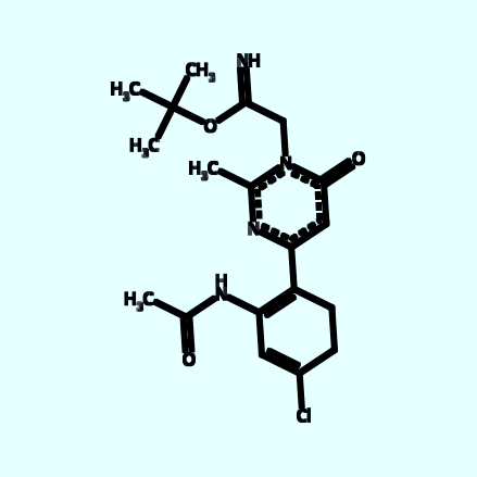 CC(=O)NC1=C(c2cc(=O)n(CC(=N)OC(C)(C)C)c(C)n2)CCC(Cl)=C1